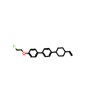 C=CC1CCC(c2ccc(-c3ccc(OCCF)cc3)cc2)CC1